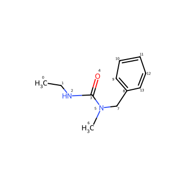 CCNC(=O)N(C)Cc1ccccc1